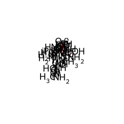 CC(C)C[C@H](NC(=O)CNC(=O)[C@@H](Cc1ccccc1)NC(=O)CNC(=O)[C@@H](Cc1ccc(O)cc1)NC(=O)[C@H](CC(C)C)NC(=O)[C@H](CCCN=C(N)N)NC(=O)[C@H](CCC(N)=O)NC(=O)[C@H](C)NC(=O)CNC(=O)[C@H](CO)NC(=O)[C@@H]1CCCN1C(=O)[C@@H](C)N)C(N)=O